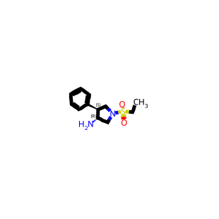 CCS(=O)(=O)N1C[C@H](c2ccccc2)[C@@H](N)C1